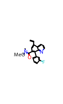 C=Cc1cc(C(=O)N(C)OC)c(-c2cccc(F)c2)c2ncccc12